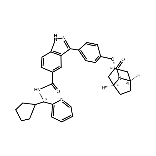 O=CN1[C@@H]2CC[C@H]1C[C@H](Oc1ccc(-c3n[nH]c4ccc(C(=O)N[C@H](c5ccccn5)C5CCCC5)cc34)cc1)C2